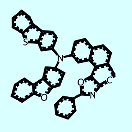 c1ccc(-c2nc3ccc4ccc5ccc(N(c6ccc7c(c6)sc6ccccc67)c6ccc7oc8ccccc8c7c6)cc5c4c3o2)cc1